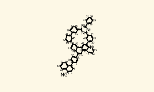 N#Cc1ccc(-c2ccc(-c3cc4c5cccnc5c(-c5cccc(-c6nc(-c7ccccc7)nc(-c7cccc(-c8ccccc8)c7)n6)c5)cc4c4cccnc34)cc2)c2ccccc12